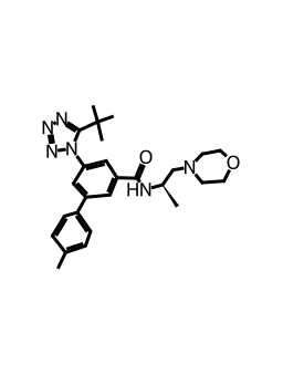 Cc1ccc(-c2cc(C(=O)N[C@H](C)CN3CCOCC3)cc(-n3nnnc3C(C)(C)C)c2)cc1